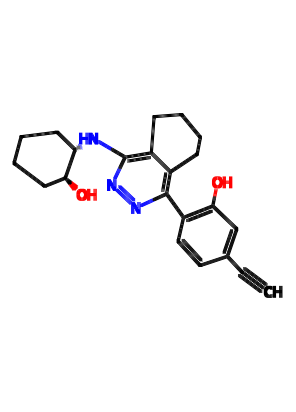 C#Cc1ccc(-c2nnc(N[C@H]3CCCC[C@@H]3O)c3c2CCCC3)c(O)c1